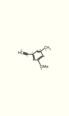 C#Cc1cc(C)cc(OC)c1